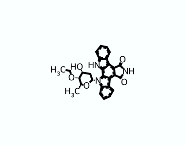 CCO[C@@H]1[C@H](O)C[C@H](n2c3ccccc3c3c4c(c5c6ccccc6[nH]c5c32)C(=O)NC4=O)O[C@H]1C